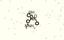 N/C(=N\I)c1cccc(Cn2c(C(=O)NCc3ccccc3)cc3c(O)cccc32)c1